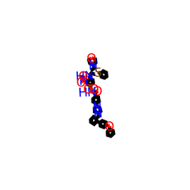 O=C(NS(=O)(=O)c1ccc(N[C@H](CCN2CCOCC2)CSc2ccccc2)c([N+](=O)[O-])c1)c1ccc(N2CCN(Cc3ccccc3-c3ccc(Oc4ccccc4)cc3)CC2)cc1